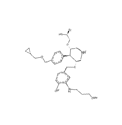 CC[C@H](O)CO[C@@H]1CNC[C@H](OCc2ccc(O)c(NCCCOC)c2)[C@H]1c1ccc(COCC2CC2)cc1